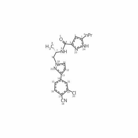 CCCc1cc(C(=O)N[C@@H](C)Cn2ccc(-c3ccc(C#N)c(Cl)c3)n2)n[nH]1